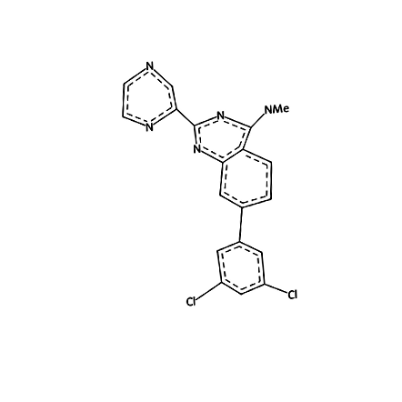 CNc1nc(-c2cnccn2)nc2cc(-c3cc(Cl)cc(Cl)c3)ccc12